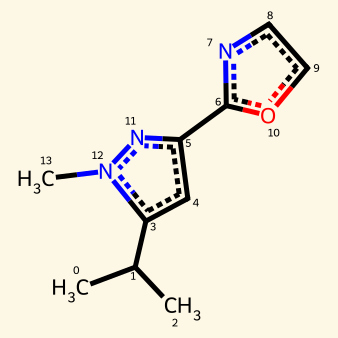 CC(C)c1cc(-c2ncco2)nn1C